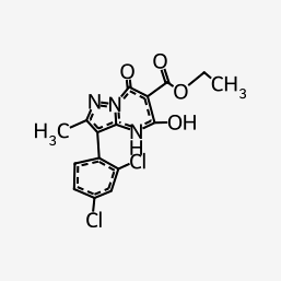 CCOC(=O)c1c(O)[nH]c2c(-c3ccc(Cl)cc3Cl)c(C)nn2c1=O